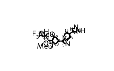 COc1cc(-c2cnc3cc(-c4cn[nH]c4)ccn23)cc(OC)c1C(=O)NCC(F)(F)F